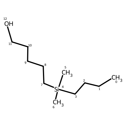 CCCC[Si](C)(C)CCCCCO